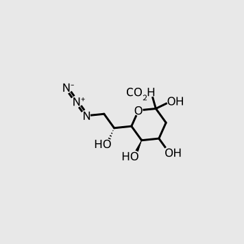 [N-]=[N+]=NC[C@@H](O)C1OC(O)(C(=O)O)CC(O)[C@H]1O